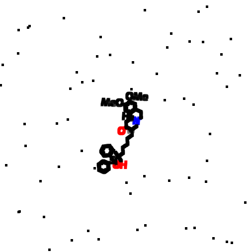 COc1cc2c(cc1OC)[C@H]1CC(=O)[C@H](CCCCCC(C)(C)[Si](O)(c3ccccc3)c3ccccc3)CN1CC2